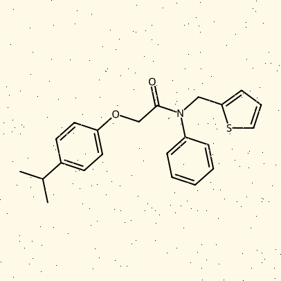 CC(C)c1ccc(OCC(=O)N(Cc2cccs2)c2ccccc2)cc1